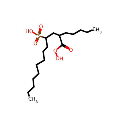 CCCCCCCCCC(CC(CCCCC)C(=O)OO)S(=O)(=O)O